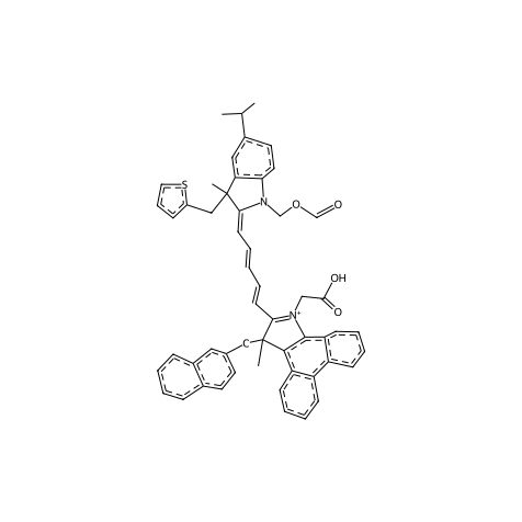 CC(C)c1ccc2c(c1)C(C)(Cc1cccs1)/C(=C/C=C/C=C/C1=[N+](CC(=O)O)c3c(c4ccccc4c4ccccc34)C1(C)Cc1ccc3ccccc3c1)N2COC=O